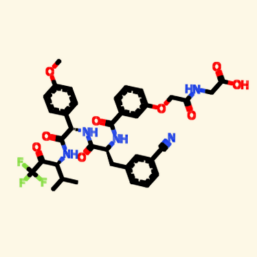 COc1ccc([C@H](NC(=O)[C@H](Cc2cccc(C#N)c2)NC(=O)c2cccc(OCC(=O)NCC(=O)O)c2)C(=O)N[C@H](C(=O)C(F)(F)F)C(C)C)cc1